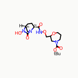 CC(C)(C)OC(=O)N1CCCOC(CONC(=O)[C@@H]2CC[C@@H]3CN2C(=O)N3O)C1